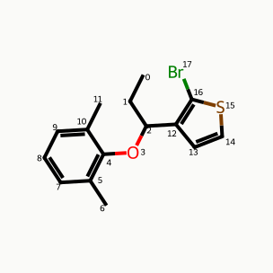 CCC(Oc1c(C)cccc1C)c1ccsc1Br